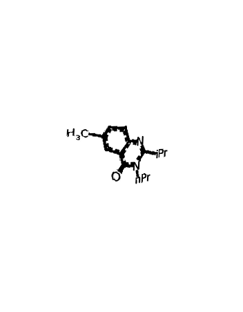 CCCn1c(C(C)C)nc2ccc(C)cc2c1=O